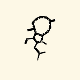 C=Cc1c(/C=C(\C)F)n(C)c2ccc(=C)ccccc(=C)c12